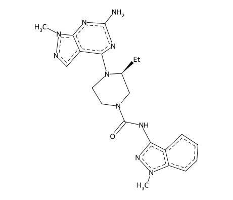 CC[C@H]1CN(C(=O)Nc2nn(C)c3ccccc23)CCN1c1nc(N)nc2c1cnn2C